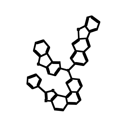 c1ccc(-c2nc3ccc4ccc5ccc(N(c6ccc7cc8c(cc7c6)oc6ccccc68)c6ccc7oc8ccccc8c7c6)cc5c4c3o2)cc1